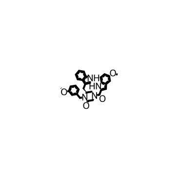 COc1cccc(CN2C(=O)CN(C(=O)c3cc4cc(OC)ccc4[nH]3)C[C@@H]2Cc2c[nH]c3ccccc23)c1